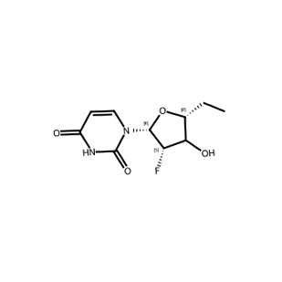 CC[C@H]1O[C@@H](n2ccc(=O)[nH]c2=O)[C@@H](F)C1O